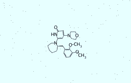 COc1cccc(C[C@H]2CCCCCN2c2cc(N3CCOCC3)cc(=O)[nH]2)c1OC